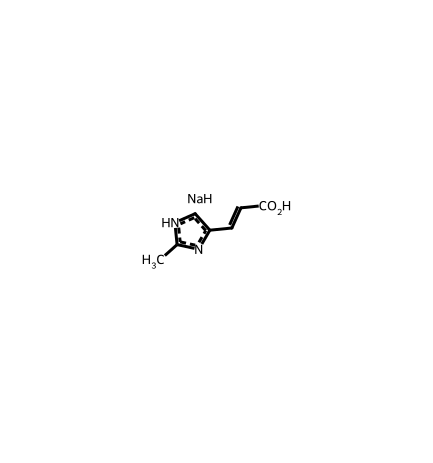 Cc1nc(/C=C/C(=O)O)c[nH]1.[NaH]